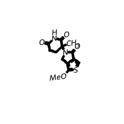 COc1scc2c1CN(C1(C)CCC(=O)NC1=O)C2=O